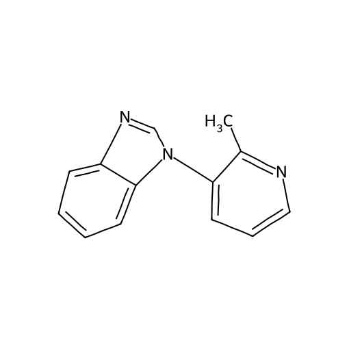 Cc1ncccc1-n1cnc2ccccc21